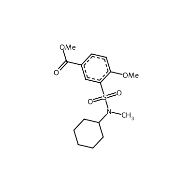 COC(=O)c1ccc(OC)c(S(=O)(=O)N(C)C2CCCCC2)c1